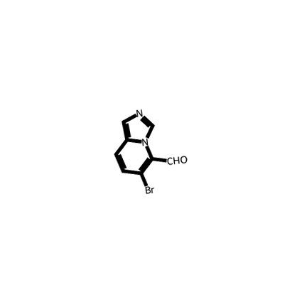 O=Cc1c(Br)ccc2cncn12